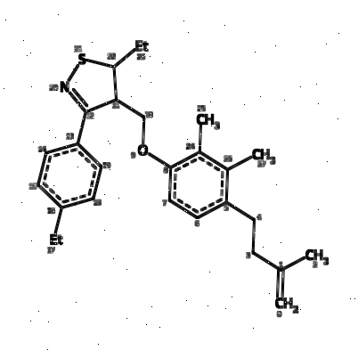 C=C(C)CCc1ccc(OCC2C(c3ccc(CC)cc3)=NSC2CC)c(C)c1C